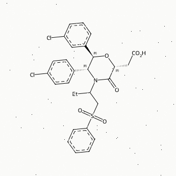 CCC(CS(=O)(=O)c1ccccc1)N1C(=O)[C@@H](CC(=O)O)O[C@H](c2cccc(Cl)c2)[C@H]1c1ccc(Cl)cc1